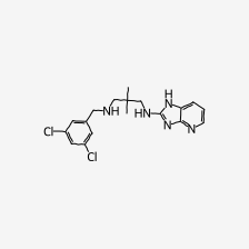 CC(C)(CNCc1cc(Cl)cc(Cl)c1)CNc1nc2ncccc2[nH]1